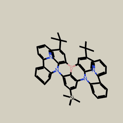 CC(C)(C)c1ccc2c(c1)B1c3cc(C(C)(C)C)ccc3N(c3ccccc3-c3ccccn3)c3cc([Si](C)(C)C)cc(c31)N2c1ccccc1-c1ccccn1